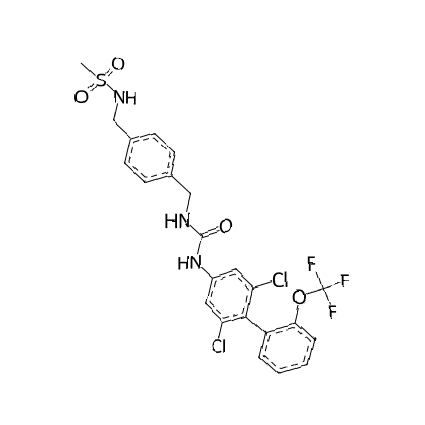 CS(=O)(=O)NCc1ccc(CNC(=O)Nc2cc(Cl)c(-c3ccccc3OC(F)(F)F)c(Cl)c2)cc1